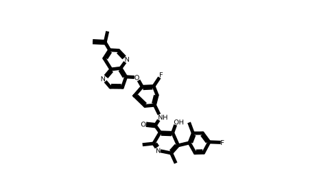 C=C(C)c1cnc2c(Oc3ccc(NC(=O)c4c(C)nc(C)c(-c5ccc(F)cc5C)c4O)cc3F)ccnc2c1